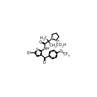 CCc1cc(C(=O)c2ccc(OC(F)(F)F)cc2)c(NC(=O)C(C)(C)N2CCC[C@@H]2C(=O)O)s1